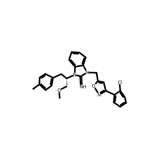 COC[C@H](Cc1ccc(C)cc1)n1c(=N)n(Cc2cc(-c3ccccc3Cl)no2)c2ccccc21